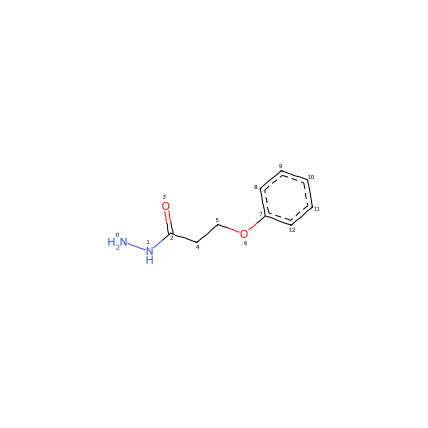 NNC(=O)CCOc1ccccc1